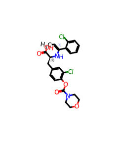 C/C=C(\N[C@@H](Cc1ccc(OC(=O)N2CCOCC2)c(Cl)c1)C(=O)O)c1ccccc1Cl